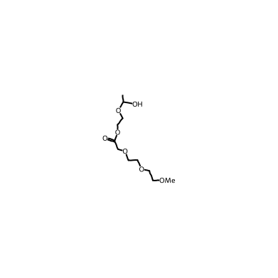 COCCOCCOCC(=O)OCCOC(C)O